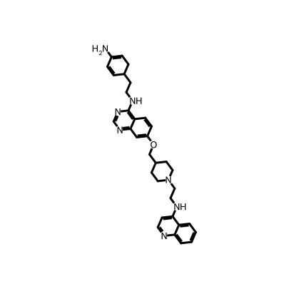 NC1=CCC(CCNc2ncnc3cc(OCC4CCN(CCNc5ccnc6ccccc56)CC4)ccc23)C=C1